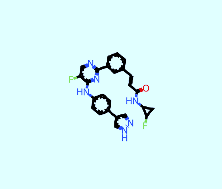 O=C(/C=C/c1cccc(-c2ncc(F)c(Nc3ccc(-c4cn[nH]c4)cc3)n2)c1)NC1CC1F